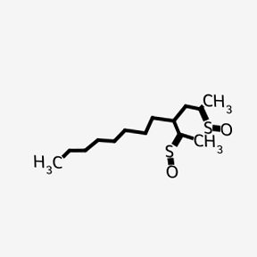 CCCCCCCCC(CC(C)=S=O)C(C)=S=O